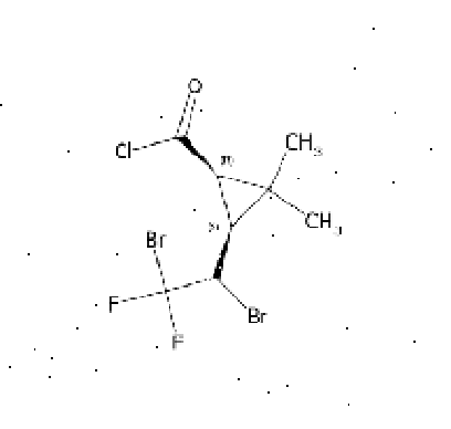 CC1(C)[C@H](C(=O)Cl)[C@@H]1C(Br)C(F)(F)Br